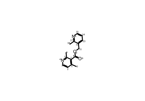 Cc1ccnc(C)c1C(=O)OCc1cccnc1C